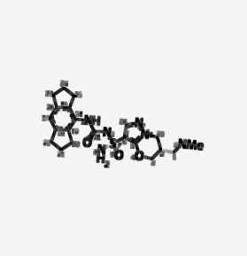 CNC[C@@H]1COc2c([S@@](N)(=O)=NC(=O)Nc3c4c(cc5c3CCC5)CCC4)cnn2C1